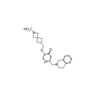 O=C(O)N1CC2(CC(COc3coc(CN4CCc5ccccc5C4)cc3=O)C2)C1